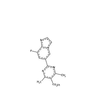 CCOC(=O)c1c(C)nc(-c2cc(F)c3nccn3c2)nc1C